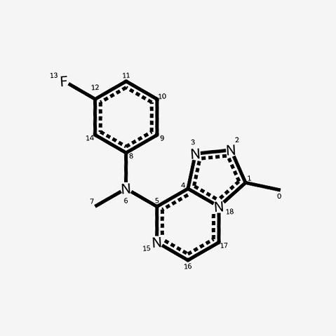 Cc1nnc2c(N(C)c3cccc(F)c3)nccn12